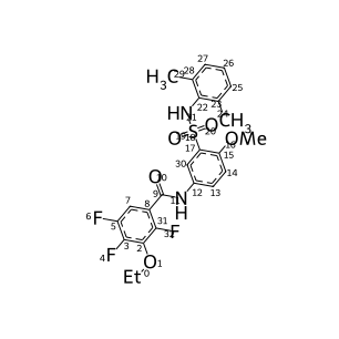 CCOc1c(F)c(F)cc(C(=O)Nc2ccc(OC)c(S(=O)(=O)Nc3c(C)cccc3C)c2)c1F